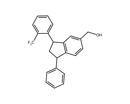 OCc1ccc2c(c1)C(c1ccccc1C(F)(F)F)CC2c1ccccc1